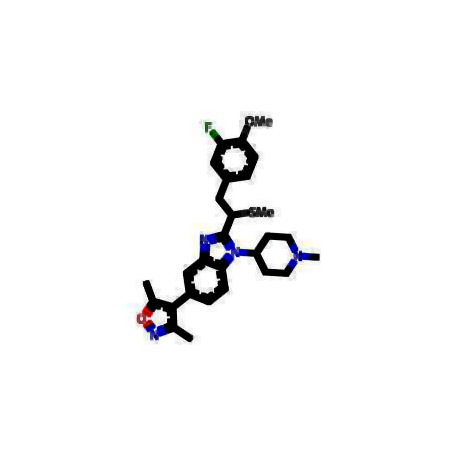 COc1ccc(CC(SC)c2nc3cc(-c4c(C)noc4C)ccc3n2C2CCN(C)CC2)cc1F